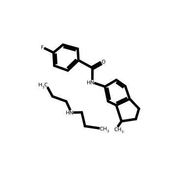 CC1CCc2ccc(NC(=O)c3ccc(F)cc3)cc21.CCCNCCC